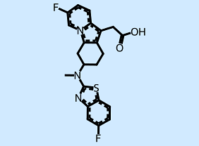 CN(c1nc2cc(F)ccc2s1)C1CCc2c(CC(=O)O)c3ccc(F)cn3c2C1